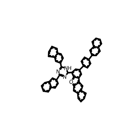 c1ccc2cc(C3=NC(c4cc(-c5ccc(-c6ccc7ccccc7c6)cc5)cc5c4oc4cc6ccccc6cc45)NC(c4ccc5ccccc5c4)=N3)ccc2c1